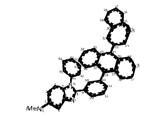 CNc1ccc2c(c1)nc(-c1cccc(-c3c4ccccc4c(-c4ccc5ccccc5c4)c4ccccc34)c1)n2-c1ccccc1